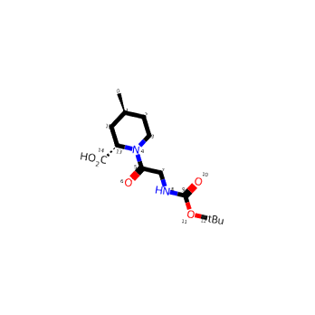 C[C@H]1CCN(C(=O)CNC(=O)OC(C)(C)C)[C@H](C(=O)O)C1